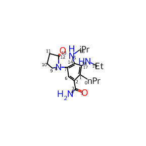 CCCc1c(C(N)=O)cc(N2CCCC2=O)c(NC(C)C)c1NCC